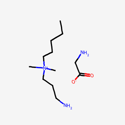 CCCCC[N+](C)(C)CCCN.NCC(=O)[O-]